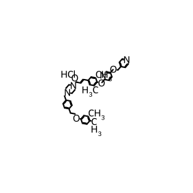 Cc1ccc(OCCc2ccc(CN3CCN(C(=O)/C=C/c4cc(C)c(Oc5ccc(OCc6ccncc6)cn5)c(C)c4)CC3)cc2)cc1C.Cl